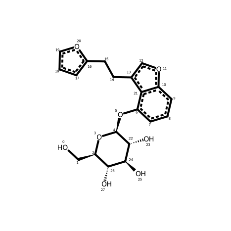 OC[C@H]1O[C@@H](Oc2cccc3occ(CCc4ccco4)c23)[C@H](O)[C@@H](O)[C@@H]1O